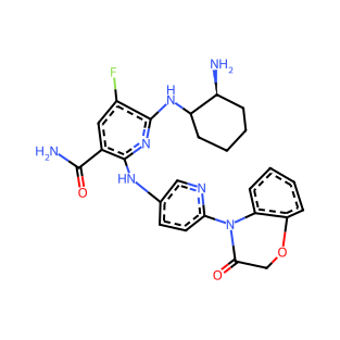 NC(=O)c1cc(F)c(NC2CCCC[C@@H]2N)nc1Nc1ccc(N2C(=O)COc3ccccc32)nc1